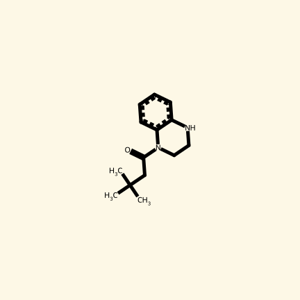 CC(C)(C)CC(=O)N1CCNc2ccccc21